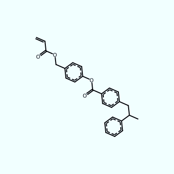 C=CC(=O)OCc1ccc(OC(=O)c2ccc(CC(C)c3ccccc3)cc2)cc1